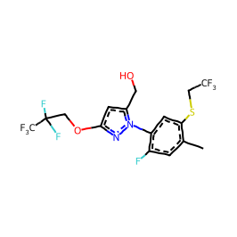 Cc1cc(F)c(-n2nc(OCC(F)(F)C(F)(F)F)cc2CO)cc1SCC(F)(F)F